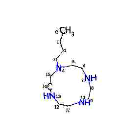 CCCCN1CCNCCNCCNCC1